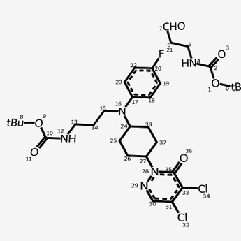 CC(C)(C)OC(=O)NCCC=O.CC(C)(C)OC(=O)NCCCN(c1ccc(F)cc1)C1CCC(n2ncc(Cl)c(Cl)c2=O)CC1